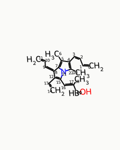 C=C/C=C\c1c(C)c2/c(=C\C=C)c(C=C)c(/C=C(\C)BO)n2c1C